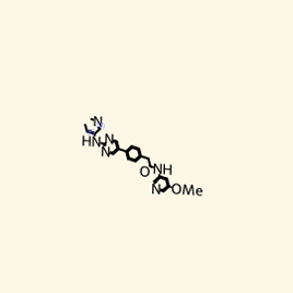 C/C=C(\C=N/C)Nc1ncc(-c2ccc(CC(=O)Nc3cncc(OC)c3)cc2)cn1